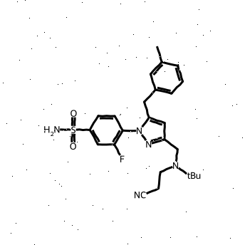 Cc1cccc(Cc2cc(CN(CCC#N)C(C)(C)C)nn2-c2ccc(S(N)(=O)=O)cc2F)c1